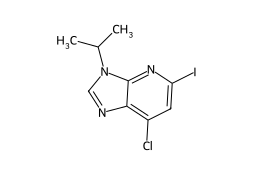 CC(C)n1cnc2c(Cl)cc(I)nc21